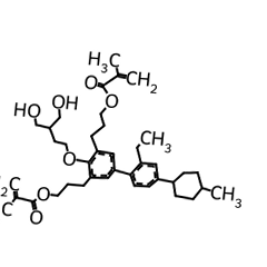 C=C(C)C(=O)OCCCc1cc(-c2ccc(C3CCC(C)CC3)cc2CC)cc(CCCOC(=O)C(=C)C)c1OCCC(CO)CO